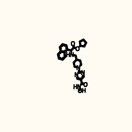 O=C(NO)c1cnc(N2CCC(CN[C@H](C(=O)OC3CCCC3)c3cccc4ccccc34)CC2)nc1